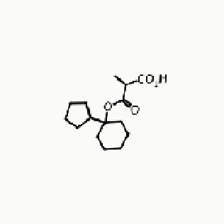 CC(C(=O)O)C(=O)OC1(C2CCCC2)CCCCC1